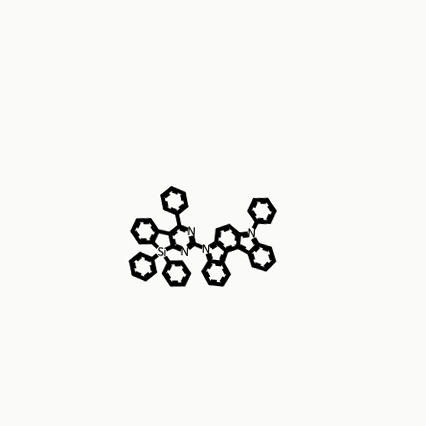 c1ccc(-c2nc(-n3c4ccccc4c4c5c6ccccc6n(-c6ccccc6)c5ccc43)nc3c2-c2ccccc2[Si]3(c2ccccc2)c2ccccc2)cc1